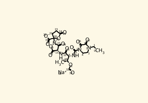 CCN1CCN(C(=O)N[C@@H](C(=O)N[C@@H]2C(=O)ON(C3(C(=O)[O-])CCC(=O)O3)C2=O)[C@H](C)OC=O)C(=O)C1=O.[Na+]